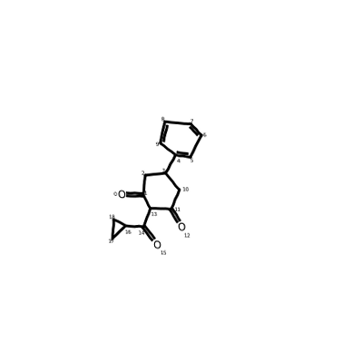 O=C1CC(c2ccccc2)CC(=O)C1C(=O)C1CC1